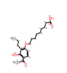 CCCc1c(OCCCCCCCCC(=O)O)ccc(C(C)=O)c1O